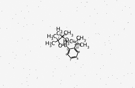 CC1(C)OB(c2ccccc2[Si](C)(C)C)OC1(C)C